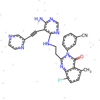 Cc1ccc(F)c2nc(CCNc3ncnc(N)c3C#Cc3cnccn3)n(-c3cccc(C#N)c3)c(=O)c12